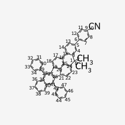 CC1(C)c2cc(-c3ccc(C#N)cc3)ccc2-c2ccc3c4c(ccc1c24)-c1c-3c(-c2ccccc2)c2ccccc2c1-c1ccccc1